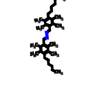 CCCCCCc1c(C)c(C)c(/C=N/N=C/c2c(C)c(C)c(CCCCCC)c(C)c2C)c(C)c1C